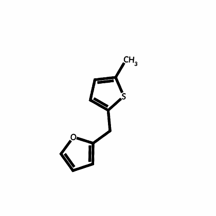 Cc1ccc(Cc2ccco2)s1